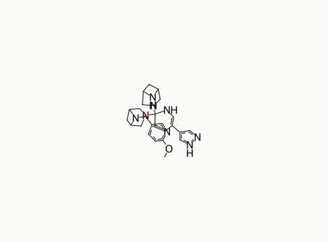 COc1ccc(CN2C3CC2CN(C2(N4CC5CC(C4)N5)C=CC(c4cn[nH]c4)=CN2)C3)cn1